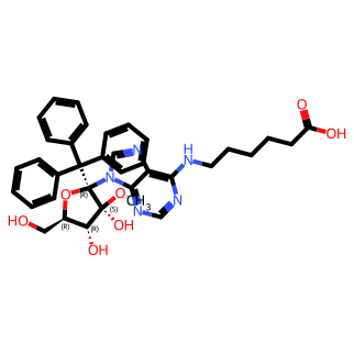 CO[C@@]1(O)[C@H](O)[C@@H](CO)O[C@]1(n1cnc2c(NCCCCCC(=O)O)ncnc21)C(c1ccccc1)(c1ccccc1)c1ccccc1